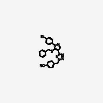 CCc1ccc(-n2ncc(-c3nnn(Cc4ccc(C#N)cc4)n3)c2SCc2ccccc2)cc1